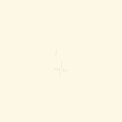 O=S(=O)([O-])CCBr.[Li+]